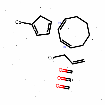 C1=C\CCCC\C=C/1.C=C[CH2][Co].[C]=O.[C]=O.[C]=O.[Co][C]1=CC=CC1